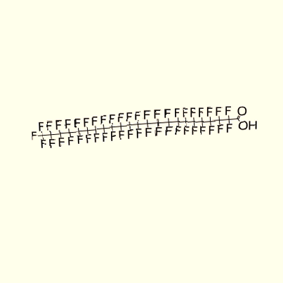 O=C(O)C(F)(F)C(F)(F)C(F)(F)C(F)(F)C(F)(F)C(F)(F)C(F)(F)C(F)(F)C(F)(F)C(F)(F)C(F)(F)C(F)(F)C(F)(F)C(F)(F)C(F)(F)C(F)(F)C(F)(F)C(F)(F)C(F)(F)C(F)(F)C(F)(F)C(F)(F)F